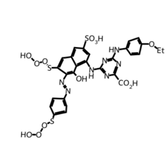 CCOc1ccc(Nc2nc(Nc3cc(S(=O)(=O)O)cc4cc(SOOO)c(N=Nc5ccc(SOOO)cc5)c(O)c34)nc(C(=O)O)n2)cc1